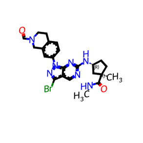 CNC(=O)[C@]1(C)CC[C@@H](Nc2ncc3c(Br)nn(-c4ccc5c(c4)CN(C=O)CC5)c3n2)C1